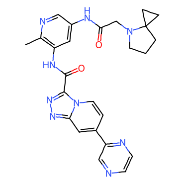 Cc1ncc(NC(=O)CN2CCCC23CC3)cc1NC(=O)c1nnc2cc(-c3cnccn3)ccn12